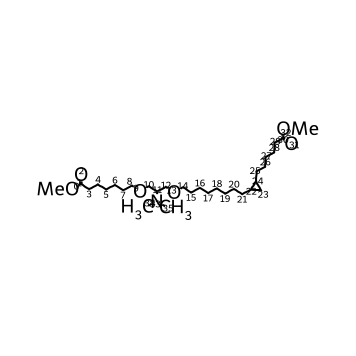 COC(=O)CCCCCCOCC(COCCCCCCCCC1CC1CCCCCC(=O)OC)N(C)C